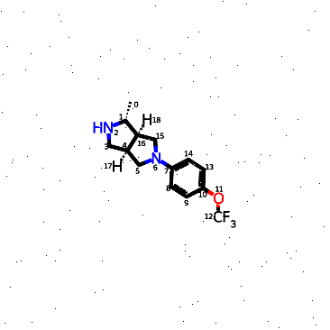 C[C@H]1NC[C@@H]2CN(c3ccc(OC(F)(F)F)cc3)C[C@@H]21